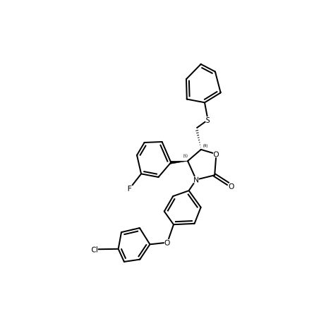 O=C1O[C@@H](CSc2ccccc2)[C@H](c2cccc(F)c2)N1c1ccc(Oc2ccc(Cl)cc2)cc1